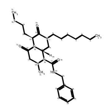 CCCCCCCN1C[C@H]2N(C(=O)CN(C)N2C(=O)NCc2ccccc2)[C@@H](CCSC)C1=O